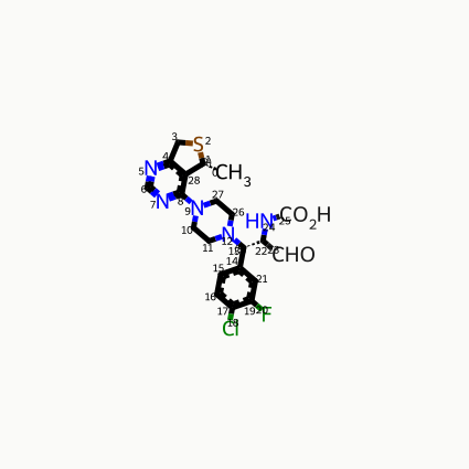 C[C@H]1SCc2ncnc(N3CCN([C@@H](c4ccc(Cl)c(F)c4)C(C=O)NC(=O)O)CC3)c21